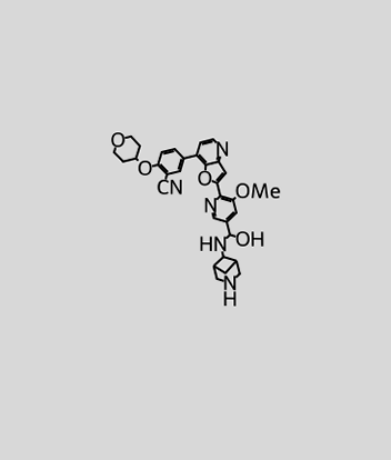 COc1cc(C(O)NC2C3CNCC2C3)cnc1-c1cc2nccc(-c3ccc(OC4CCOCC4)c(C#N)c3)c2o1